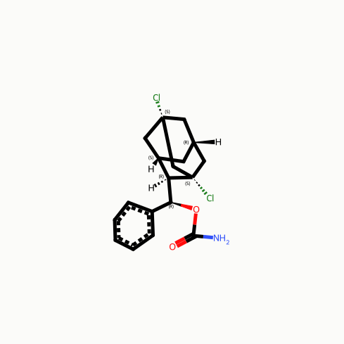 NC(=O)O[C@@H](c1ccccc1)[C@H]1[C@H]2C[C@@H]3C[C@](Cl)(C2)C[C@@]1(Cl)C3